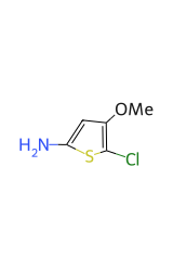 COc1cc(N)sc1Cl